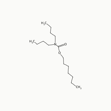 CCCCCCCOC(=O)N(CCCC)CCCC